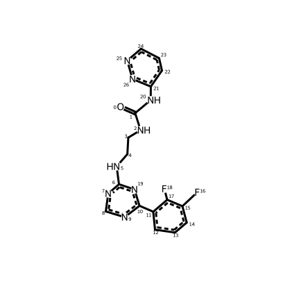 O=C(NCCNc1ncnc(-c2cccc(F)c2F)n1)Nc1cccnn1